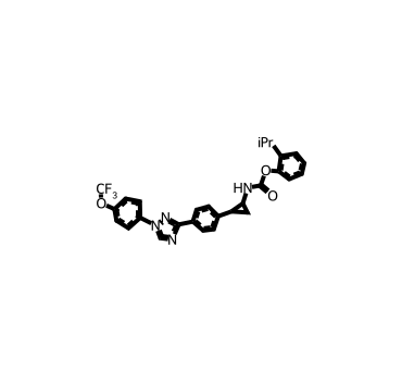 CC(C)c1ccccc1OC(=O)NC1CC1c1ccc(-c2ncn(-c3ccc(OC(F)(F)F)cc3)n2)cc1